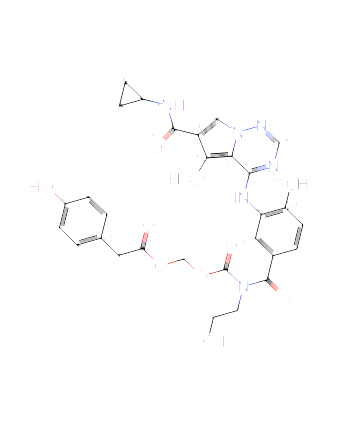 CCCN(C(=O)OCOC(=O)Cc1ccc(O)cc1)C(=O)c1ccc(C)c(Nc2ncnn3cc(C(=O)NC4CC4)c(C)c23)c1